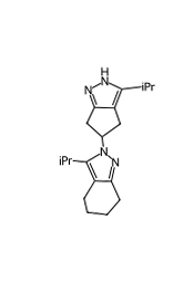 CC(C)c1[nH]nc2c1CC(n1nc3c(c1C(C)C)CCCC3)C2